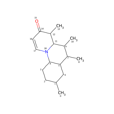 CC1CCC2C(C1)C(C)C(C)C1C(C)C(=O)C=CN21